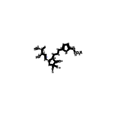 CCCC[C@H](C)[C@H](O)/C=C/[C@H]1CC(F)(F)C(=O)N1CCCc1ccc(OC(=O)O)s1